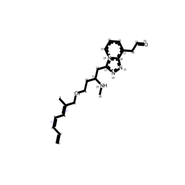 C=C/C=C\C=C(/C)COCCC(Cc1nnc2c(CC=O)cccn12)NC